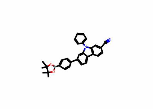 CC1(C)OB(c2ccc(-c3ccc4c5ccc(C#N)cc5n(-c5ccccc5)c4c3)cc2)OC1(C)C